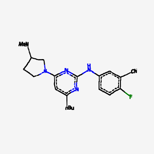 CCCCc1cc(N2CCC(NC)C2)nc(Nc2ccc(F)c(C#N)c2)n1